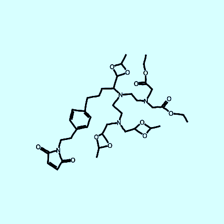 CCOC(=O)CN(CCN(CCN(CC1OC(C)O1)CC1OC(C)O1)C(CCCc1ccc(CCN2C(=O)C=CC2=O)cc1)C1OC(C)O1)CC(=O)OCC